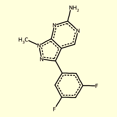 Cn1nc(-c2cc(F)cc(F)c2)c2cnc(N)nc21